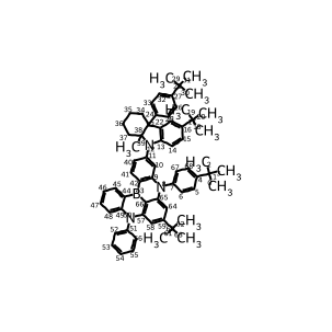 CC(C)(C)c1ccc(N2c3cc(N4c5ccc(C(C)(C)C)cc5C5(c6ccc(C(C)(C)C)cc6)CCCCC45C)ccc3B3c4ccccc4N(c4ccccc4)c4cc(C(C)(C)C)cc2c43)cc1